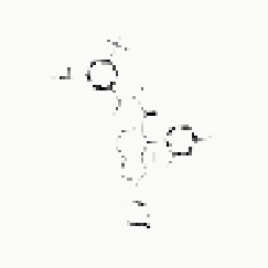 Cc1cc(F)ccc1C1[C@@H]2CN(C3=NC(=O)CO3)CC2CCN1C(=O)N(C)C(C)c1cc(C(F)(F)F)cc(C(F)(F)F)c1